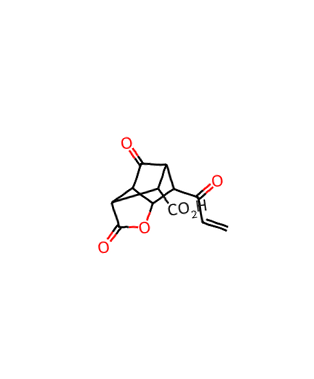 C=CC(=O)C1C2OC(=O)C3C2C(=O)C1C3C(=O)O